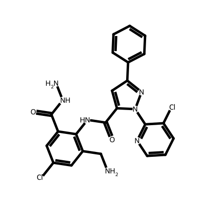 NCc1cc(Cl)cc(C(=O)NN)c1NC(=O)c1cc(-c2ccccc2)nn1-c1ncccc1Cl